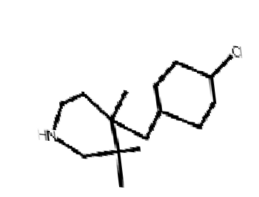 CC1(C)CNCCC1(C)CC1CCC(Cl)CC1